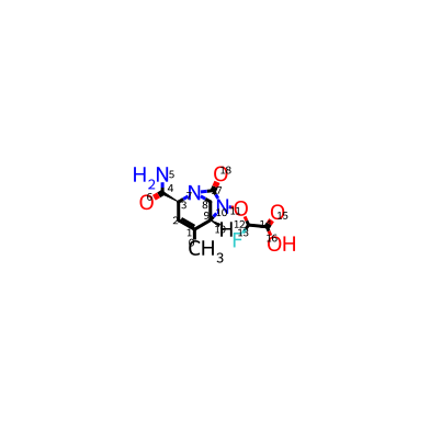 CC1=C[C@@H](C(N)=O)N2C[C@@H]1N(OC(F)C(=O)O)C2=O